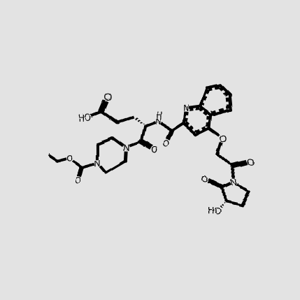 CCOC(=O)N1CCN(C(=O)[C@H](CCC(=O)O)NC(=O)c2cc(OCC(=O)N3CC[C@H](O)C3=O)c3ccccc3n2)CC1